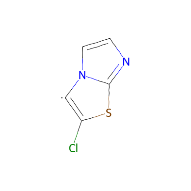 Clc1[c]n2ccnc2s1